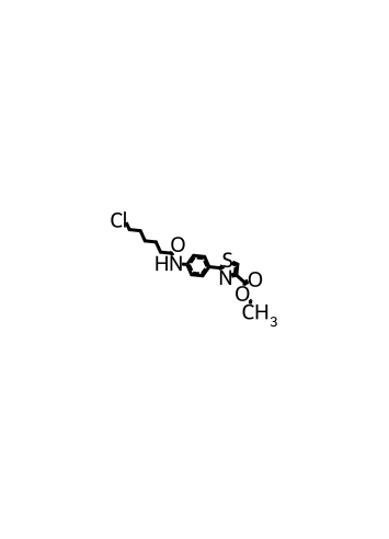 CCOC(=O)c1csc(-c2ccc(NC(=O)CCCCCCl)cc2)n1